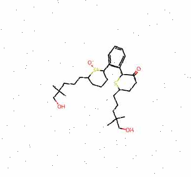 CC(C)(CO)CCCC1CCC(=O)C(c2ccccc2C2CCCC(CCCC(C)(C)CO)[S+]2[O-])S1